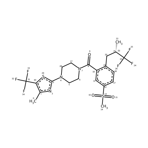 Cc1nc(N2CCN(C(=O)c3cc(S(C)(=O)=O)ccc3C[C@H](C)C(F)(F)F)CC2)sc1C(F)(F)F